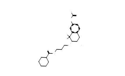 CO[C@H]1Cc2ccc(OC(N)=O)cc2C(C)(C)[C@@H]1NCCCNC(=O)C1CCCCC1